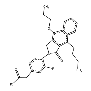 CCCOc1c2c(c(OCCC)c3ccccc13)C(=O)N(c1ccc(CC(=O)O)cc1F)C2